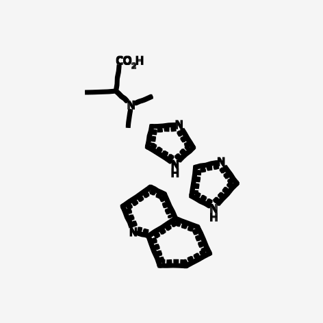 CC(C(=O)O)N(C)C.c1c[nH]cn1.c1c[nH]cn1.c1ccc2ncccc2c1